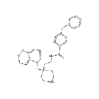 O=C(NCCC1(CC2C=CC=C3OOCC=C32)CCNCC1)c1ccc(Oc2ccccc2)cc1